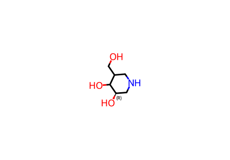 OCC1CNC[C@@H](O)C1O